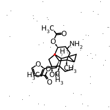 CC(=O)OC[C@H]1C[C@@H](OC(C)=O)CC[C@]1(C)[C@@]12CC[C@@]3(C)[C@@H](CC[C@@]3(O)c3ccco3)[C@@]1(CN)C2